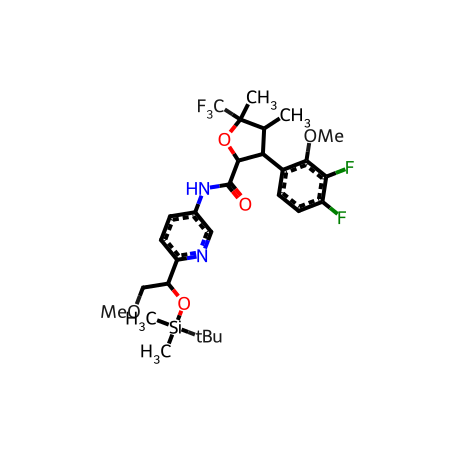 COCC(O[Si](C)(C)C(C)(C)C)c1ccc(NC(=O)C2OC(C)(C(F)(F)F)C(C)C2c2ccc(F)c(F)c2OC)cn1